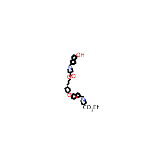 CCOC(=O)C1CCN(Cc2ccc3cc(O[C@H]4CC[C@@H](CCCCOC(=O)C5CCN(Cc6ccc7cc(O)ccc7c6)CC5)CC4)ccc3c2)CC1